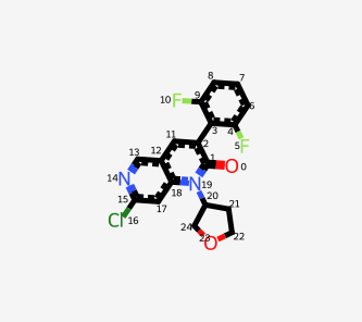 O=c1c(-c2c(F)cccc2F)cc2cnc(Cl)cc2n1C1CCOC1